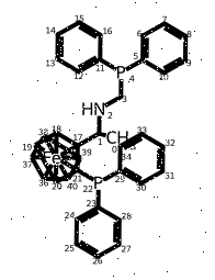 CC(NCP(c1ccccc1)c1ccccc1)[C]12[CH]3[CH]4[CH]5[C]1(P(c1ccccc1)c1ccccc1)[Fe]43521678[CH]2[CH]1[CH]6[CH]7[CH]28